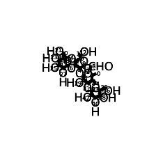 CC1OC(OC2C(OC=O)OC(CO)C(O)C2OC2OC(CO)C(O)C(O)C2O)C(O)C(OC2OC(CO)C(O)C(O)C2O)C1C